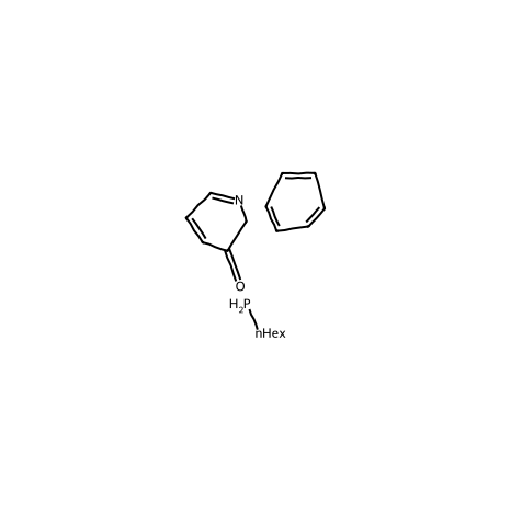 CCCCCCP.O=C1C=CC=NC1.c1ccccc1